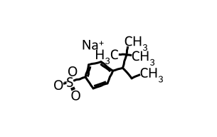 CCC(c1ccc(S(=O)(=O)[O-])cc1)C(C)(C)C.[Na+]